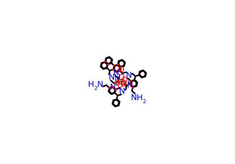 CCCCC(=O)CN(CC(c1ccccc1)c1ccccc1)C(=O)CCN(CC(c1ccccc1)c1ccccc1)C(=O)CN(CCCN)C(=O)CN(CC(c1ccccc1)c1ccccc1)C(=O)CN(CCCN)C(=O)CNCC(c1ccccc1)c1ccccc1